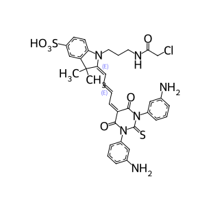 CC1(C)/C(=C\C=C\C=C2C(=O)N(c3cccc(N)c3)C(=S)N(c3cccc(N)c3)C2=O)N(CCCNC(=O)CCl)c2ccc(S(=O)(=O)O)cc21